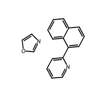 c1ccc(-c2cccc3ccccc23)nc1.c1cocn1